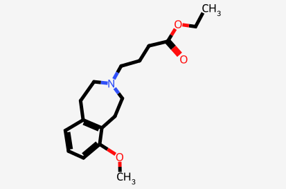 CCOC(=O)CCCN1CCc2cccc(OC)c2CC1